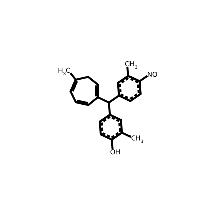 CC1=CC=CC(C(c2ccc(O)c(C)c2)c2ccc(N=O)c(C)c2)=CC1